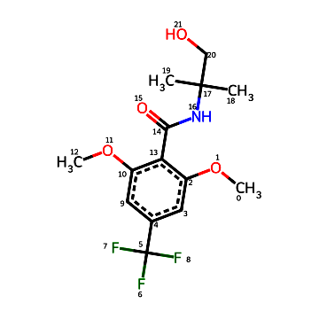 COc1cc(C(F)(F)F)cc(OC)c1C(=O)NC(C)(C)CO